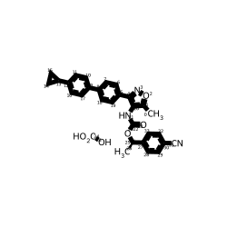 Cc1onc(-c2ccc(-c3ccc(C4CC4)cc3)cc2)c1NC(=O)O[C@H](C)c1ccc(C#N)cc1.O=C(O)O